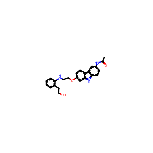 CC(=O)Nc1ccc2[nH]c3cc(OCCNc4ccccc4CCO)ccc3c2c1